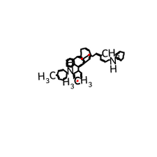 C/C=C\C(C1=C2CC3=C(C=C(CC/C=C(C)\C=C/CNC4=CCCC=C4)C2/C=C\C=C/C3)c2ccccc21)/C(=C\C)NC1C=CC=C(C)C=C1